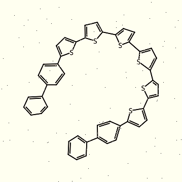 c1ccc(-c2ccc(-c3ccc(-c4ccc(-c5ccc(-c6ccc(-c7ccc(-c8ccc(-c9ccc(-c%10ccccc%10)cc9)s8)s7)s6)s5)s4)s3)cc2)cc1